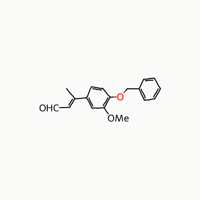 COc1cc(C(C)=CC=O)ccc1OCc1ccccc1